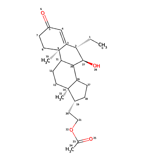 CC[C@H]1C2=CC(=O)CC[C@]2(C)C2CC[C@@]3(C)C(CC[C@@H]3CCOC(C)=O)C2[C@@H]1O